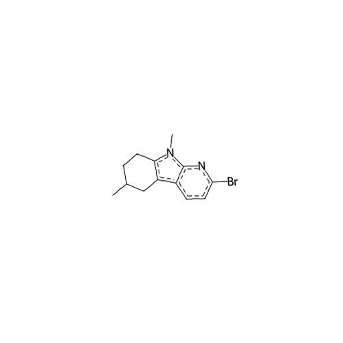 CC1CCc2c(c3ccc(Br)nc3n2C)C1